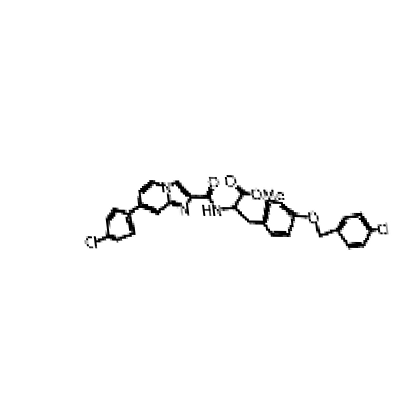 COC(=O)C(Cc1ccc(OCc2ccc(Cl)cc2)cc1)NC(=O)c1cn2ccc(-c3ccc(Cl)cc3)cc2n1